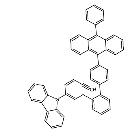 C#C/C=C\C(=C/Cc1ccccc1-c1ccc(-c2c3ccccc3c(-c3ccccc3)c3ccccc23)cc1)n1c2ccccc2c2ccccc21